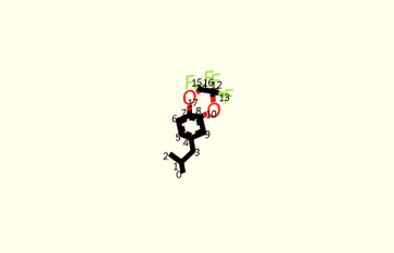 CC(C)Cc1ccc2c(c1)OC(F)(F)C(F)(F)O2